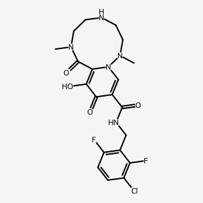 CN1CCNCCN(C)n2cc(C(=O)NCc3c(F)ccc(Cl)c3F)c(=O)c(O)c2C1=O